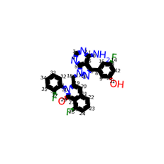 Nc1ncnc2c1c(-c1cc(O)cc(F)c1)nn2Cc1cc2cccc(F)c2c(=O)n1-c1ccccc1F